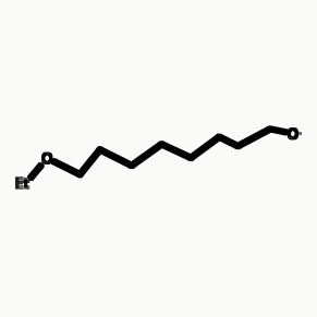 CCOCCCCCCCC[O]